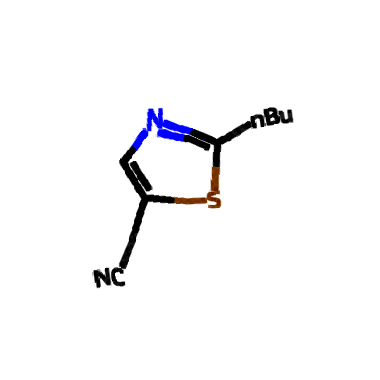 CCCCc1ncc(C#N)s1